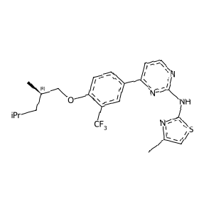 Cc1csc(Nc2nccc(-c3ccc(OC[C@H](C)CC(C)C)c(C(F)(F)F)c3)n2)n1